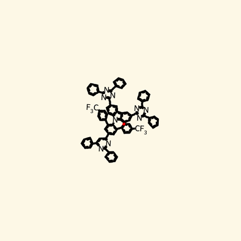 FC(F)(F)c1ccc(-c2cc(-c3cc(-c4ccccc4)nc(-c4ccccc4)n3)cc(-c3ccc(C(F)(F)F)cc3)c2-n2c3ccc(-c4nc(-c5ccccc5)nc(-c5ccccc5)n4)cc3c3cc(-c4nc(-c5ccccc5)nc(-c5ccccc5)n4)ccc32)cc1